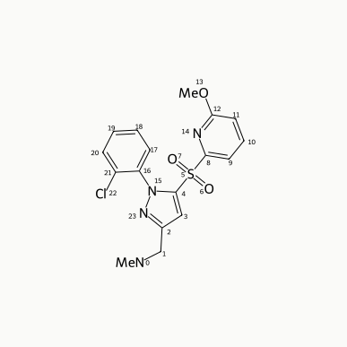 CNCc1cc(S(=O)(=O)c2cccc(OC)n2)n(-c2ccccc2Cl)n1